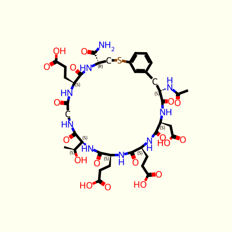 CC(=O)N[C@H]1Cc2cccc(c2)SC[C@@H](C(N)=O)NC(=O)[C@H](CCC(=O)O)NC(=O)CNC(=O)[C@H]([C@H](C)O)NC(=O)[C@H](CCC(=O)O)NC(=O)[C@H](CCC(=O)O)NC(=O)[C@H](CC(=O)O)NC1=O